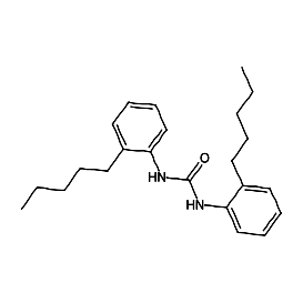 CCCCCc1ccccc1NC(=O)Nc1ccccc1CCCCC